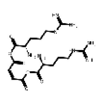 N=C(N)NCCC[C@H](N)C(=O)OC(=O)/C=C\C(=O)OC(=O)[C@@H](N)CCCNC(=N)N